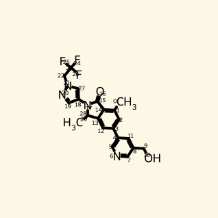 Cc1cc(-c2cncc(CO)c2)cc2c1C(=O)N(c1cnn(CC(F)(F)F)c1)C2C